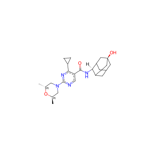 C[C@@H]1CN(c2ncc(C(=O)N[C@H]3C4CC5CC3C[C@@](O)(C5)C4)c(C3CC3)n2)C[C@@H](C)O1